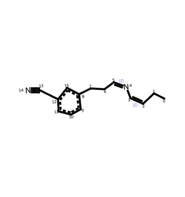 CC/C=C\N=C/CCc1cccc(C#N)c1